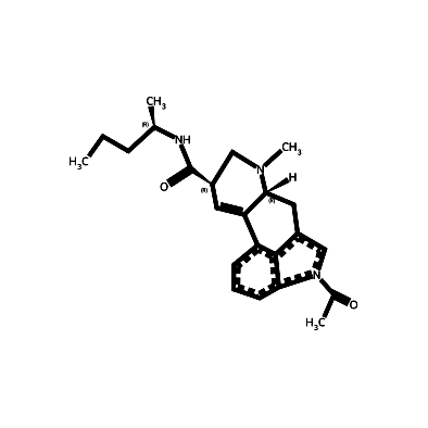 CCC[C@@H](C)NC(=O)[C@@H]1C=C2c3cccc4c3c(cn4C(C)=O)C[C@H]2N(C)C1